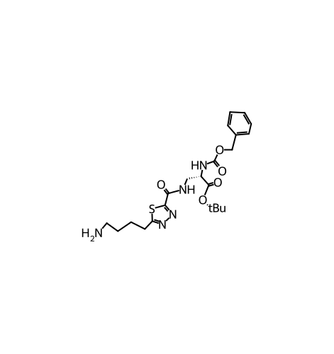 CC(C)(C)OC(=O)[C@H](CNC(=O)c1nnc(CCCCN)s1)NC(=O)OCc1ccccc1